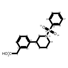 O=C(O)Cc1cccc(C2CCCN(S(=O)(=O)c3ccccc3)C2)c1